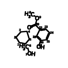 C1CCCCC1.CO.COC(=O)c1cccc(O)c1